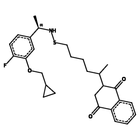 CC(CCCCSN[C@H](C)c1ccc(F)c(OCC2CC2)c1)C1CC(=O)c2ccccc2C1=O